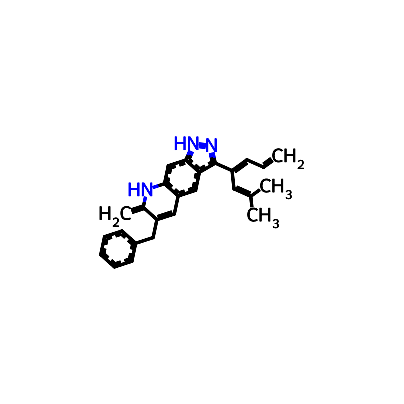 C=C/C=C(\C=C(C)C)c1n[nH]c2cc3c(cc12)C=C(Cc1ccccc1)C(=C)N3